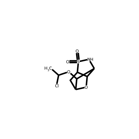 CC(Cl)OC1C2CC3C(O2)C1NS3(=O)=O